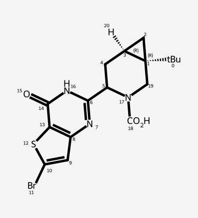 CC(C)(C)[C@@]12C[C@@H]1CC(c1nc3cc(Br)sc3c(=O)[nH]1)N(C(=O)O)C2